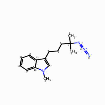 Cn1cc(CCCC(C)(C)N=[N+]=[N-])c2ccccc21